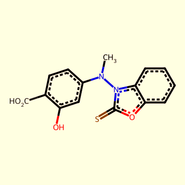 CN(c1ccc(C(=O)O)c(O)c1)n1c(=S)oc2ccccc21